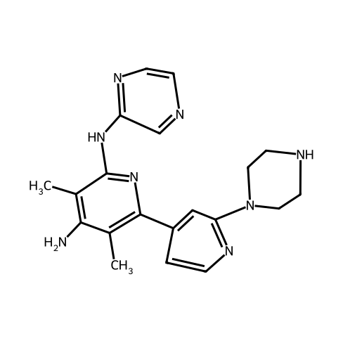 Cc1c(Nc2cnccn2)nc(-c2ccnc(N3CCNCC3)c2)c(C)c1N